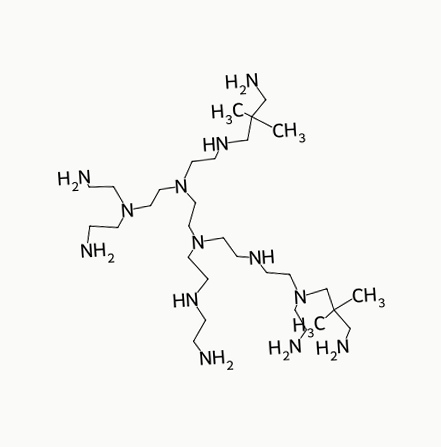 CC(C)(CN)CNCCN(CCN(CCN)CCN)CCN(CCNCCN)CCNCCN(CCN)CC(C)(C)CN